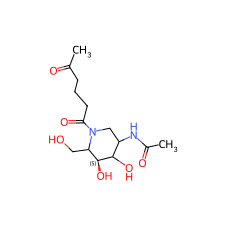 CC(=O)CCCC(=O)N1CC(NC(C)=O)C(O)[C@@H](O)C1CO